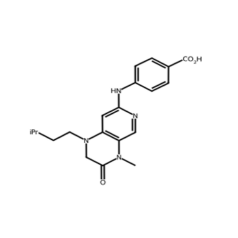 CC(C)CCN1CC(=O)N(C)c2cnc(Nc3ccc(C(=O)O)cc3)cc21